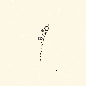 CCCCCCCCCCOCC(O)COS(=O)(=O)c1ccc(C)cc1